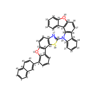 c1ccc2cc(-c3cccc4c3oc3ccc5nc(-n6c7ccccc7c7ccc8oc9ccccc9c8c76)sc5c34)ccc2c1